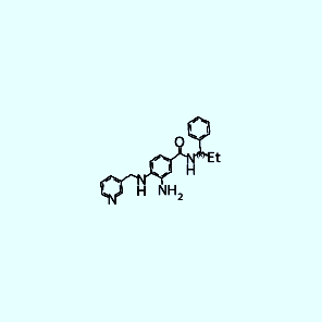 CC[C@@H](NC(=O)c1ccc(NCc2cccnc2)c(N)c1)c1ccccc1